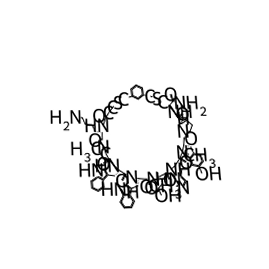 CN1CC(=O)N[C@@H](Cc2c[nH]c3ccccc23)C(=O)N[C@@H](Cc2c[nH]c3ccccc23)C(=O)N(C)[C@@H](CC(=O)O)C(=O)N[C@@H](Cc2cnc[nH]2)C(=O)N(C)[C@@H](Cc2ccc(O)cc2)C(=O)N2CCC[C@H]2C(=O)N[C@H](C(N)=O)CSCc2cccc(c2)CSCCC(=O)N[C@@H](CCCCN)C1=O